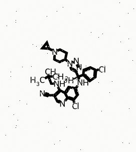 [2H][C@](Nc1cc(Cl)c2ncc(C#N)c(NCC(C)(C)C)c2c1)(c1ccc(Cl)cc1)c1cn(C2CCN(C3CC3)CC2)nn1